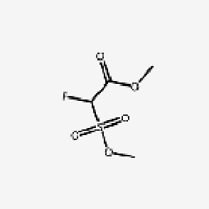 COC(=O)C(F)S(=O)(=O)OC